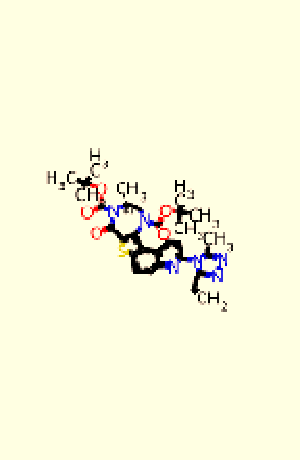 C=Cc1nnc(C)n1-c1ccc2c(ccc3sc4c(c32)N(C(=O)OC(C)(C)C)C[C@@H](C)N(C(=O)OC(C)(C)C)C4=O)n1